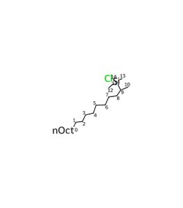 CCCCCCCCCCCCCCCCC(C)[Si](C)(C)Cl